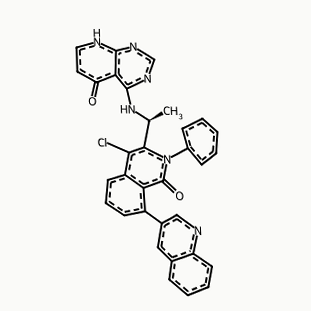 C[C@H](Nc1ncnc2[nH]ccc(=O)c12)c1c(Cl)c2cccc(-c3cnc4ccccc4c3)c2c(=O)n1-c1ccccc1